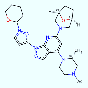 CC(=O)N1CCN(c2cc(N3C[C@H]4CC[C@@H](C3)O4)nc3c2cnn3-c2ccn(C3CCCCO3)n2)[C@H](C)C1